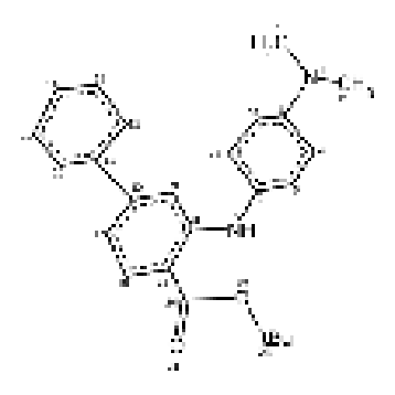 CN(C)c1ccc(Nc2cc(-c3ccccc3)ccc2C(=O)OC(C)(C)C)cc1